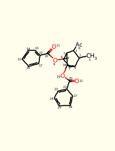 CC(=O)C1C(C)C2CCC1C(OC(=O)c1ccccc1)C2OC(=O)c1ccccc1